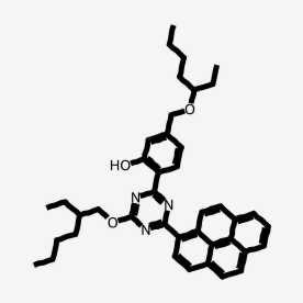 CCCCC(CC)COc1nc(-c2ccc(COC(CC)CCCC)cc2O)nc(-c2ccc3ccc4cccc5ccc2c3c45)n1